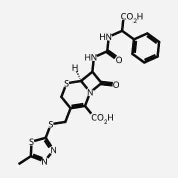 Cc1nnc(SCC2=C(C(=O)O)N3C(=O)C(NC(=O)NC(C(=O)O)c4ccccc4)[C@@H]3SC2)s1